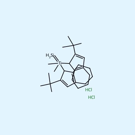 CC(C)(C)C1=CC2=C(CCCC2)[CH]1[Ti]([CH3])([CH3])(=[SiH2])[CH]1C(C(C)(C)C)=CC2=C1CCCC2.Cl.Cl